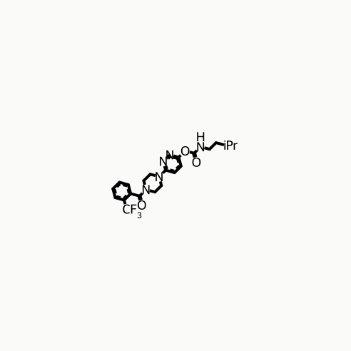 CC(C)CCNC(=O)Oc1ccc(N2CCN(C(=O)c3ccccc3C(F)(F)F)CC2)nn1